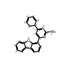 CC(C)(C)c1nc(-c2cccc3c2oc2ccccc23)cc(C2C=CC=CC2)n1